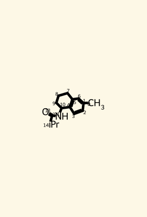 Cc1ccc2c(c1)CCCC2NC(=O)C(C)C